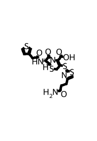 NC(=O)CCc1csc(SC2=C(C(=O)O)N3C(=O)[C@@H](NC(=O)Cc4ccsc4)[C@H]3SC2)n1